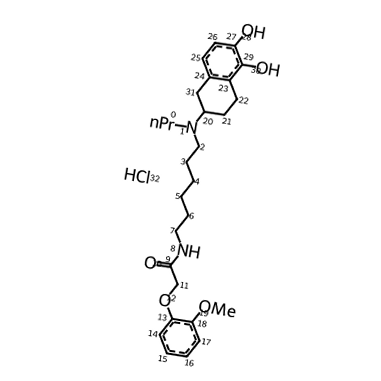 CCCN(CCCCCCNC(=O)COc1ccccc1OC)C1CCc2c(ccc(O)c2O)C1.Cl